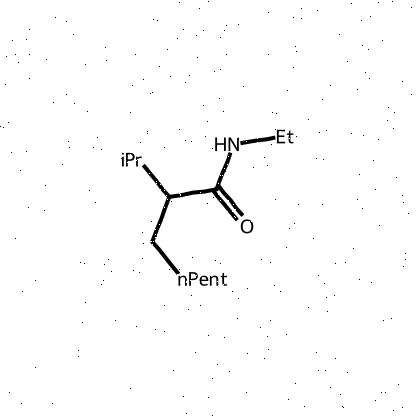 CCCCCCC(C(=O)NCC)C(C)C